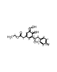 CCOC(=O)CC1=C/C(=N/O)C(=N)C(N(C)Cc2ccc(F)cc2)=C1